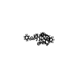 NC(=O)[C@H](Cc1cncn1COCc1ccccc1)N[C@@H](CC1CCCCC1)[C@@H](O)c1nccn1COCc1ccccc1